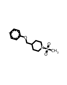 CS(=O)(=O)N1CCC(COc2cc[c]cc2)CC1